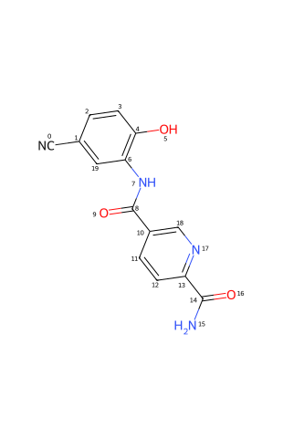 N#Cc1ccc(O)c(NC(=O)c2ccc(C(N)=O)nc2)c1